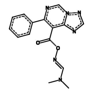 CN(C)C=NOC(=O)c1c(-c2ccccc2)ncn2ncnc12